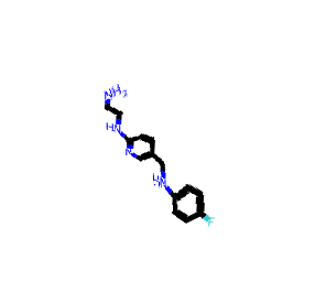 NCCNc1ccc(CNc2ccc(F)cc2)cn1